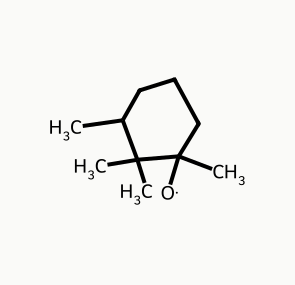 CC1CCCC(C)([O])C1(C)C